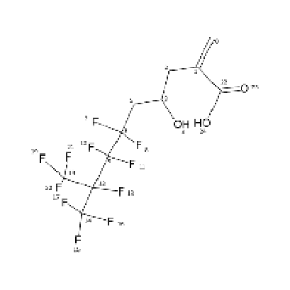 C=C(CC(O)CC(F)(F)C(F)(F)C(F)(C(F)(F)F)C(F)(F)F)C(=O)O